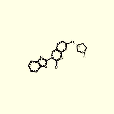 O=c1oc2cc(O[C@@H]3CCNC3)ccc2cc1-c1nc2ccccc2s1